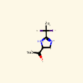 COC(=O)C1CN=C(C(C)(I)I)N1